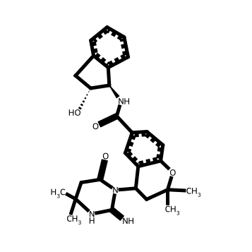 CC1(C)CC(=O)N(C2CC(C)(C)Oc3ccc(C(=O)N[C@@H]4c5ccccc5C[C@H]4O)cc32)C(=N)N1